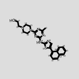 Cc1nc(Nc2ncc(-c3cccc4ccccc34)s2)nc(N2CCN(CCO)CC2)n1